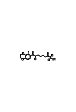 Cc1c(NC(=O)CCCCNS(=O)(=O)C(C)C)ccc2c1OCCO2